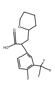 O=C(O)C(CC1CCCCO1)c1ccc(F)c(C(F)(F)F)c1